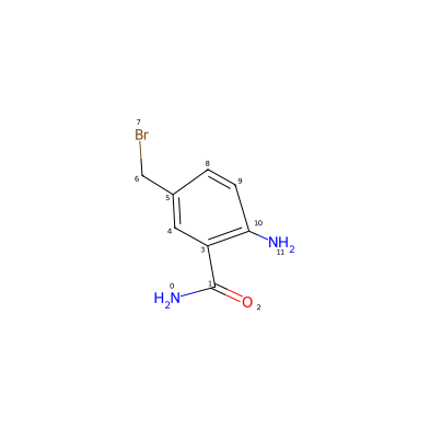 NC(=O)c1cc(CBr)ccc1N